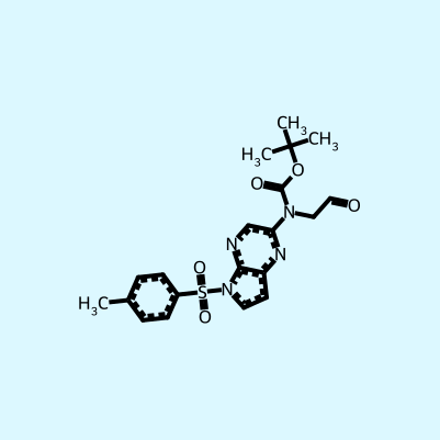 Cc1ccc(S(=O)(=O)n2ccc3nc(N(CC=O)C(=O)OC(C)(C)C)cnc32)cc1